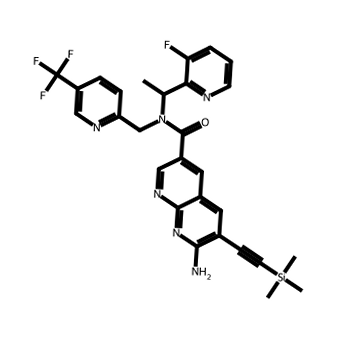 CC(c1ncccc1F)N(Cc1ccc(C(F)(F)F)cn1)C(=O)c1cnc2nc(N)c(C#C[Si](C)(C)C)cc2c1